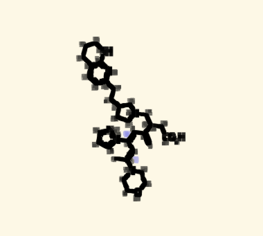 C=C(/C=C(\C=C(/C)N1CCOCC1)n1cccn1)[C@H](CC(=O)O)CN1CCC(CCc2ccc3c(n2)NCCC3)C1